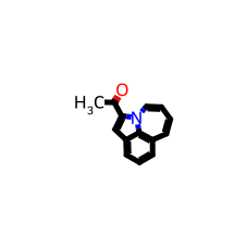 CC(=O)c1cc2cccc3c2n1C=CC=C3